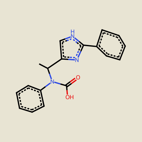 CC(c1c[nH]c(-c2ccccc2)n1)N(C(=O)O)c1ccccc1